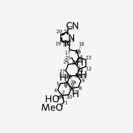 COC[C@@]1(O)CC[C@H]2[C@H](CC[C@H]3[C@@H]4CCC([C@@H](C)Cn5ccc(C#N)n5)[C@@]4(C)CC[C@]23C)C1